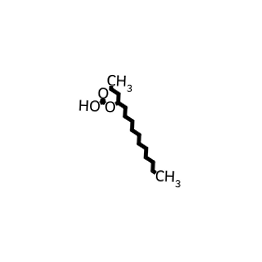 CCCCCCCCCCCC(CCC)OC(=O)O